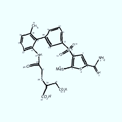 CSc1sc(C(=N)N)cc1S(=O)(=O)c1cccc(-c2c(C)cccc2NC(=O)CSC(CC(=O)O)C(=O)O)c1